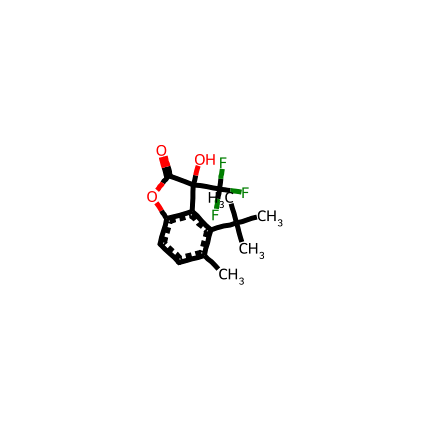 Cc1ccc2c(c1C(C)(C)C)C(O)(C(F)(F)F)C(=O)O2